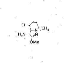 CCC1CCC(C)N2N=C(OC)C(N)C12